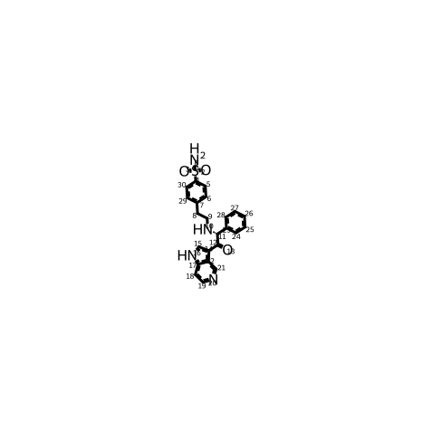 NS(=O)(=O)c1ccc(CCN[C@@H](C(=O)c2c[nH]c3ccncc23)c2ccccc2)cc1